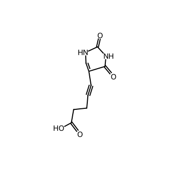 O=C(O)CCC#Cc1c[nH]c(=O)[nH]c1=O